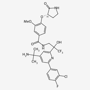 COc1cc(C(=O)NCC(O)(c2cc(C(C)(C)N)cc(-c3ccc(F)c(Cl)c3)n2)C(F)(F)F)ccc1O[C@H]1CCNC1=O